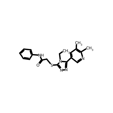 CCn1c(SCC(=O)Nc2ccccc2)nnc1-c1cnc(C)c(C)c1